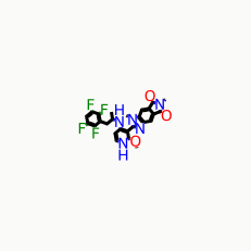 COC1NC=CC(NC(C)Cc2c(F)c(F)cc(F)c2F)=C1c1nc2cc3c(cc2n1C)C(=O)N(C)C3=O